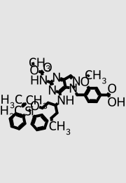 CCCC(CCO[Si](c1ccccc1)(c1ccccc1)C(C)(C)C)Nc1nc(NC(=O)OC)nc2cnn(Cc3ccc(C(=O)O)cc3OC)c12